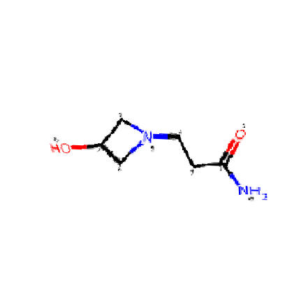 NC(=O)CCN1CC(O)C1